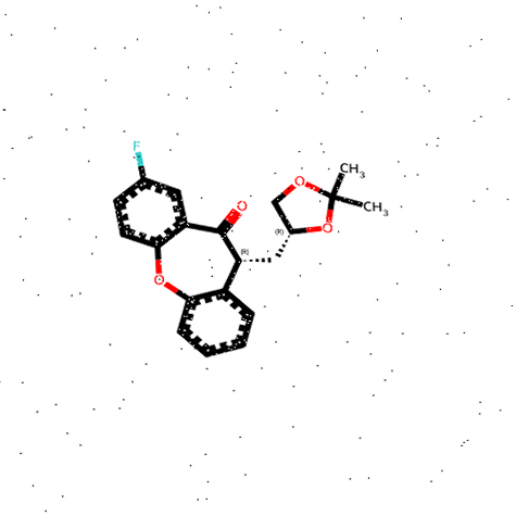 CC1(C)OC[C@@H](C[C@H]2C(=O)c3cc(F)ccc3Oc3ccccc32)O1